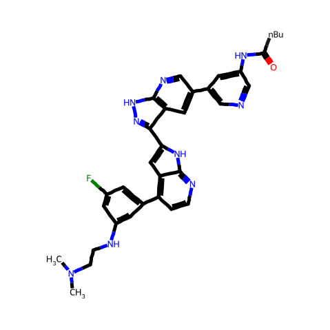 CCCCC(=O)Nc1cncc(-c2cnc3[nH]nc(-c4cc5c(-c6cc(F)cc(NCCN(C)C)c6)ccnc5[nH]4)c3c2)c1